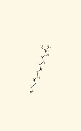 [CH2]CCCCCCCCCCC([CH2])C